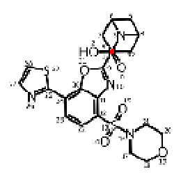 O=C(O)N1C2CC1CN(c1nc3c(S(=O)(=O)N4CCOCC4)ccc(-c4nccs4)c3o1)C2